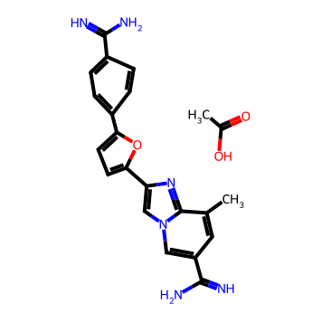 CC(=O)O.Cc1cc(C(=N)N)cn2cc(-c3ccc(-c4ccc(C(=N)N)cc4)o3)nc12